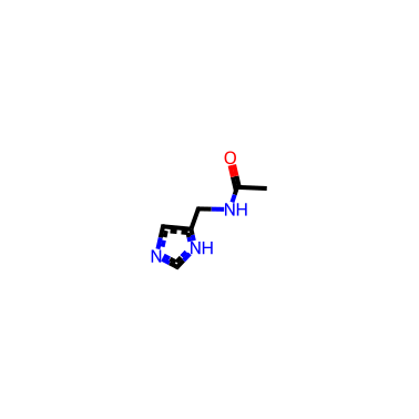 CC(=O)NCc1cnc[nH]1